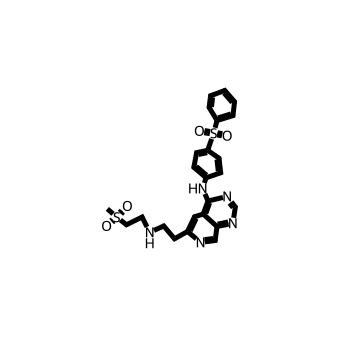 CS(=O)(=O)CCNCCc1cc2c(Nc3ccc(S(=O)(=O)c4ccccc4)cc3)ncnc2cn1